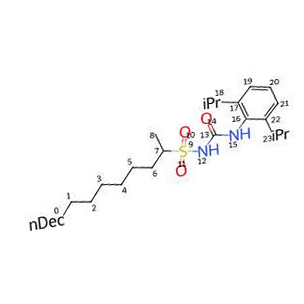 CCCCCCCCCCCCCCCCC(C)S(=O)(=O)NC(=O)Nc1c(C(C)C)cccc1C(C)C